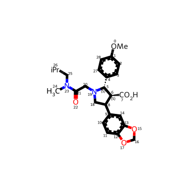 COc1ccc([C@@H]2[C@@H](C(=O)O)C(c3ccc4c(c3)OCO4)CN2CC(=O)N(C)CC(C)C)cc1